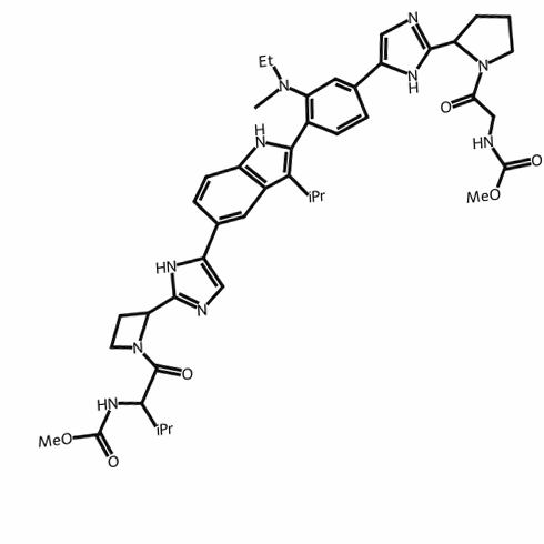 CCN(C)c1cc(-c2cnc(C3CCCN3C(=O)CNC(=O)OC)[nH]2)ccc1-c1[nH]c2ccc(-c3cnc(C4CCN4C(=O)C(NC(=O)OC)C(C)C)[nH]3)cc2c1C(C)C